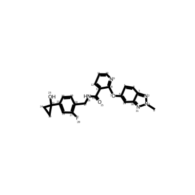 Cn1nc2ccc(Oc3ncccc3C(=O)NCc3ccc(C4(O)CC4)cc3F)cc2n1